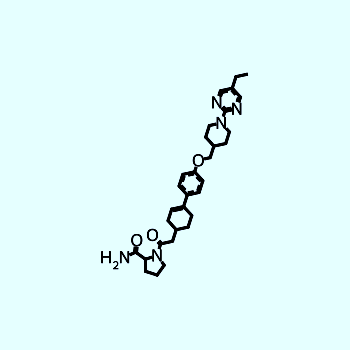 CCc1cnc(N2CCC(COc3ccc(C4=CCC(CC(=O)N5CCCC5C(N)=O)CC4)cc3)CC2)nc1